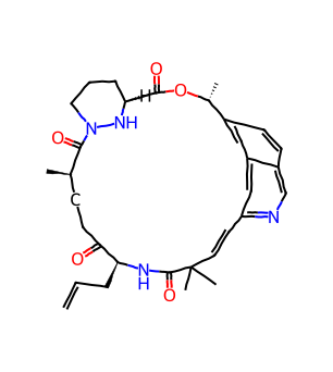 C=CC[C@@H]1NC(=O)C(C)(C)/C=C/c2cc3cc(ccc3cn2)[C@@H](C)OC(=O)[C@@H]2CCCN(N2)C(=O)[C@H](C)CCC1=O